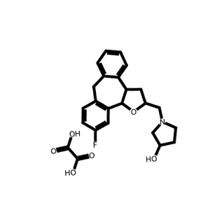 O=C(O)C(=O)O.OC1CCN(CC2CC3c4ccccc4Cc4ccc(F)cc4C3O2)C1